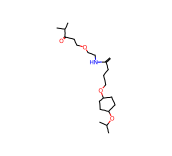 C=C(CCCOC1CCC(OC(C)C)CC1)NCCOCCC(=O)C(C)C